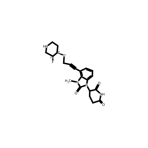 Cn1c(=O)n(C2CCC(=O)NC2=O)c2cccc(C#CCO[C@@H]3CCNC[C@@H]3F)c21